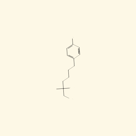 CCCCCCCCc1ccc(CCCCC(C)(COC(C)=O)NC(C)=O)cc1